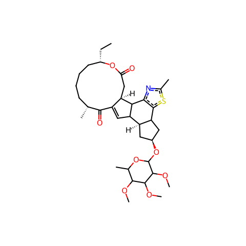 CC[C@H]1CCCC[C@@H](C)C(=O)C2=CC3C(c4nc(C)sc4C4C[C@@H](OC5OC(C)C(OC)C(OC)C5OC)C[C@H]43)[C@@H]2CC(=O)O1